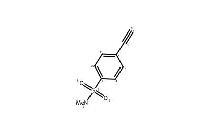 [C]#Cc1ccc(S(=O)(=O)NC)cc1